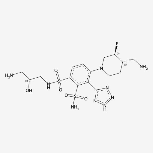 NC[C@@H](O)CNS(=O)(=O)c1ccc(N2CC[C@@H](CN)[C@H](F)C2)c(-c2nn[nH]n2)c1S(N)(=O)=O